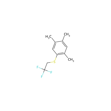 Cc1cc(C)c(SCC(F)(F)F)cc1C